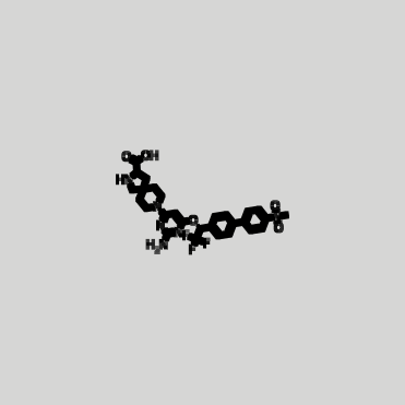 CS(=O)(=O)c1ccc(-c2ccc([C@@H](Oc3cc(N4CCC5(CC4)CNC(C(=O)O)C5)nc(N)n3)C(F)(F)F)cc2)cc1